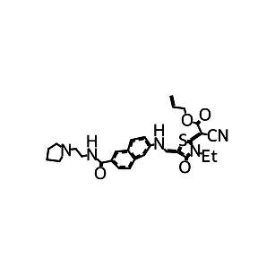 C=CCOC(=O)C(C#N)=c1sc(=CNc2ccc3cc(C(=O)NCCN4CCCC4)ccc3c2)c(=O)n1CC